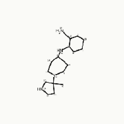 CC1(N2CCC(NC3CCCCC3N)CC2)CCNC1